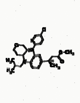 COC(=O)C[C@@H](C)c1ccc(N(CC(C)C)C2CCOCC2)c(Nc2ccc(Cl)cn2)c1